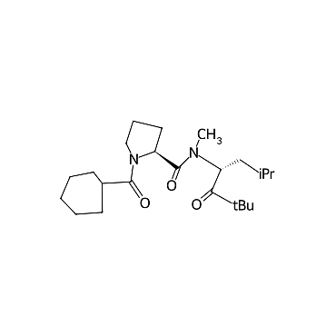 CC(C)C[C@H](C(=O)C(C)(C)C)N(C)C(=O)[C@@H]1CCCN1C(=O)C1CCCCC1